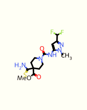 COC(=O)C1(C(N)=S)CCN(C(=O)Nc2cc(C(F)F)nn2C)CC1